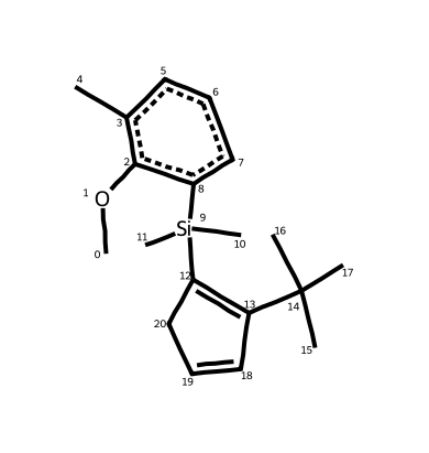 COc1c(C)cccc1[Si](C)(C)C1=C(C(C)(C)C)C=CC1